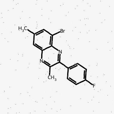 Cc1cc(Br)c2nc(-c3ccc(F)cc3)c(C)nc2c1